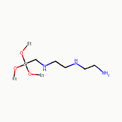 CCO[Si](CNCCNCCN)(OCC)OCC